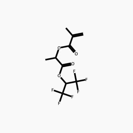 C=C(C)C(=O)OC(C)C(=O)OC(C(F)(F)F)C(F)(F)F